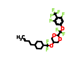 C=CCCC1CCC(C(F)(F)OC2COC(C(F)(F)Oc3cc(F)c(C(F)(F)F)c(F)c3)OC2)CC1